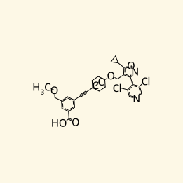 COCc1cc(C#CC23CCC(OCc4c(-c5c(Cl)cncc5Cl)noc4C4CC4)(CC2)CC3)cc(C(=O)O)c1